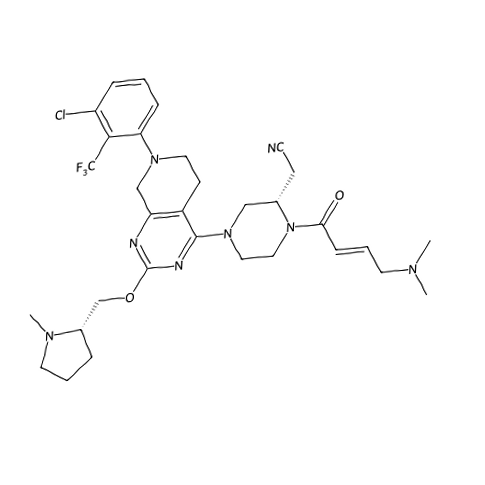 CN(C)C/C=C/C(=O)N1CCN(c2nc(OC[C@@H]3CCCN3C)nc3c2CCN(c2cccc(Cl)c2C(F)(F)F)C3)C[C@@H]1CC#N